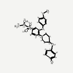 CCOc1ccc(Oc2cc(S(=O)(=O)N(C)C)cnc2N2CCC(Oc3ccc(Cl)cc3)CC2)cc1